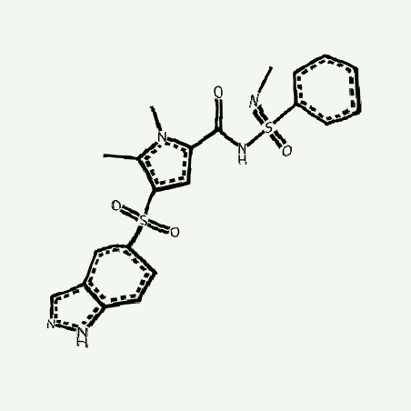 CN=S(=O)(NC(=O)c1cc(S(=O)(=O)c2ccc3[nH]ncc3c2)c(C)n1C)c1ccccc1